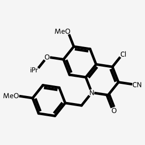 COc1ccc(Cn2c(=O)c(C#N)c(Cl)c3cc(OC)c(OC(C)C)cc32)cc1